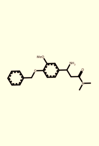 COc1cc(C(N)CC(=O)N(C)C)ccc1OCc1ccccc1